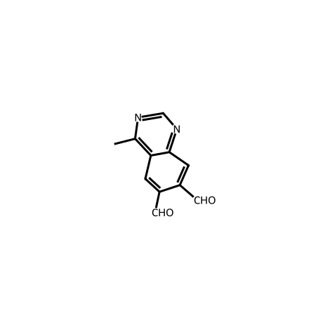 Cc1ncnc2cc(C=O)c(C=O)cc12